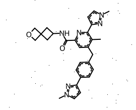 Cc1c(Cc2ccc(-c3ccn(C)n3)cc2)cc(C(=O)NC2CC3(COC3)C2)nc1-c1ccn(C)n1